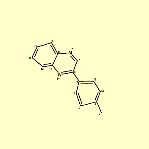 Cc1ccc(-c2cnc3ccccc3n2)cc1